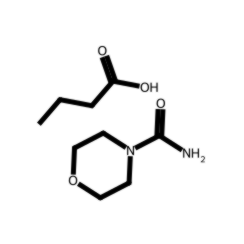 CCCC(=O)O.NC(=O)N1CCOCC1